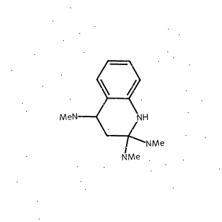 CNC1CC(NC)(NC)Nc2ccccc21